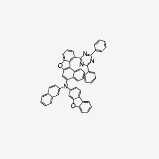 c1ccc(-c2nc(-c3ccccc3)nc(-c3cccc4oc5cc(N(c6ccc7ccccc7c6)c6ccc7c(c6)oc6ccccc67)c6ccccc6c5c34)n2)cc1